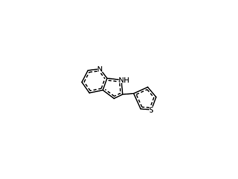 c1cnc2[nH]c(-c3ccsc3)cc2c1